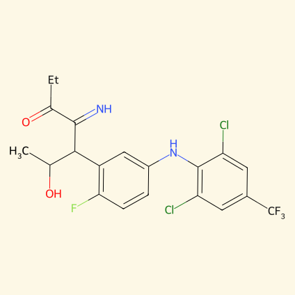 CCC(=O)C(=N)C(c1cc(Nc2c(Cl)cc(C(F)(F)F)cc2Cl)ccc1F)C(C)O